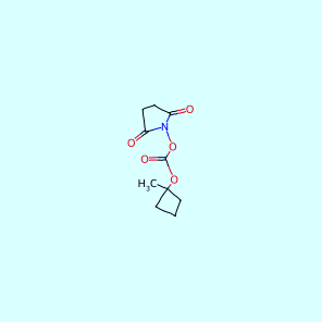 CC1(OC(=O)ON2C(=O)CCC2=O)CCC1